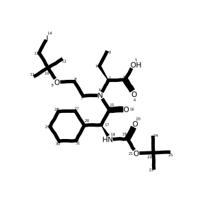 CC[C@@H](C(=O)O)N(CCOC(C)(C)CI)C(=O)[C@@H](NC(=O)OC(C)(C)C)C1CCCCC1